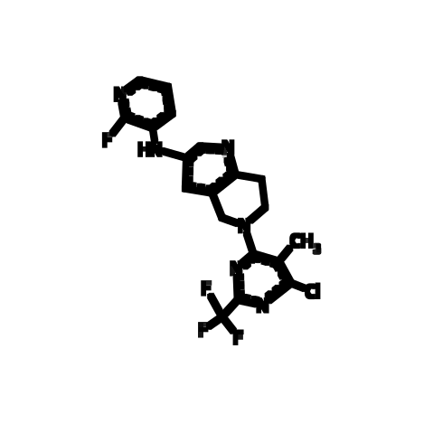 Cc1c(Cl)nc(C(F)(F)F)nc1N1CCc2ncc(Nc3cccnc3F)cc2C1